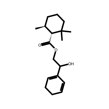 C[C@H]1CCCC(C)(C)[C@@H]1C(=O)OCC(O)C1=CCCC=C1